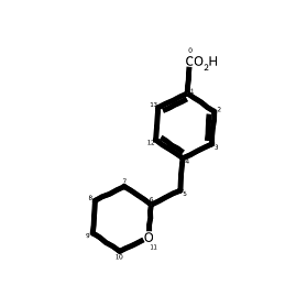 O=C(O)c1ccc(CC2CCCCO2)cc1